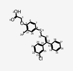 O=C(O)COc1ccc(SCC=C(c2ccccc2)c2cccc(Cl)c2)cc1I